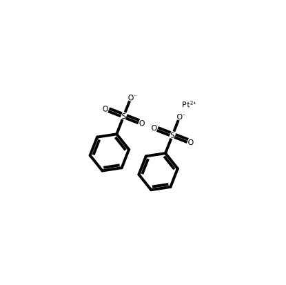 O=S(=O)([O-])c1ccccc1.O=S(=O)([O-])c1ccccc1.[Pt+2]